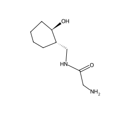 NCC(=O)NC[C@@H]1CCCC[C@H]1O